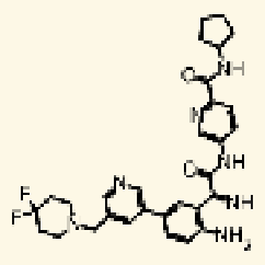 N=C(C(=O)Nc1ccc(C(=O)NC2CCCC2)nc1)c1cc(-c2cncc(CN3CCC(F)(F)CC3)c2)ccc1N